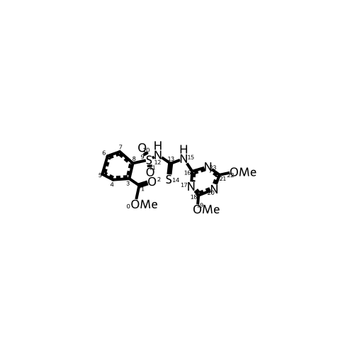 COC(=O)c1ccccc1S(=O)(=O)NC(=S)Nc1nc(OC)nc(OC)n1